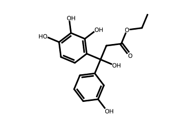 CCOC(=O)CC(O)(c1cccc(O)c1)c1ccc(O)c(O)c1O